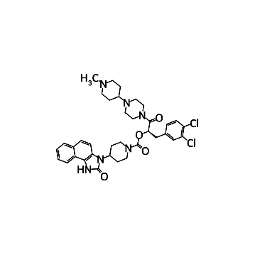 CN1CCC(N2CCN(C(=O)[C@@H](Cc3ccc(Cl)c(Cl)c3)OC(=O)N3CCC(n4c(=O)[nH]c5c6ccccc6ccc54)CC3)CC2)CC1